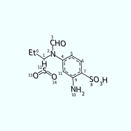 CCC(N(C=O)c1ccc(S(=O)(=O)O)c(N)c1)[SH](=O)=O